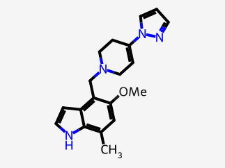 COc1cc(C)c2[nH]ccc2c1CN1CC=C(n2cccn2)CC1